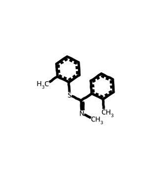 C/N=C(/Sc1ccccc1C)c1ccccc1C